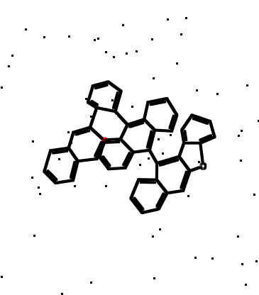 c1ccc(-c2c3ccccc3c(-c3c4ccccc4cc4oc5ccccc5c34)c3ccccc23)c(-c2ccc3ccccc3c2)c1